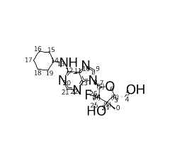 C[C@]1(O)[C@@H](CO)O[C@H](n2cnc3c(NC4CCCCC4)ncnc32)[C@]1(C)F